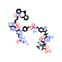 CN[C@H](C(=O)N[C@H](C(=O)N(C)[C@H](/C=C(\C)C(=O)O)C(C)C)C(C)(C)C)C(C)(C)c1cn(C)c2cc(CNC(=O)OCc3ccc(NC(=O)[C@H](CCCNC(N)=O)NC(=O)[C@@H](NC(=O)CCC(=O)N4Cc5ccccc5C5=C(C5)c5ccccc54)C(C)C)cc3)ccc12